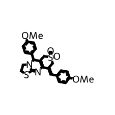 COc1ccc(C=C2CS(=O)(=O)CC3=C2N=C2SCCN2C3c2ccc(OC)cc2)cc1